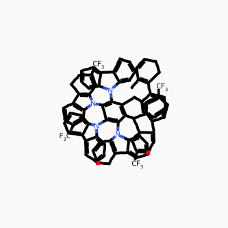 CC1=C(c2ccccc2Cc2c(C3c4cc(C(F)(F)F)ccc4-c4ccc(C(F)(F)F)cc43)c(-n3c4c(c5ccccc53)CCC=C4)c(-n3c4ccccc4c4ccccc43)c(-n3c4c(c5ccc(C(F)(F)F)cc53)CCC(C(F)(F)F)=C4)c2-n2c3ccccc3c3ccccc32)CCC=C1